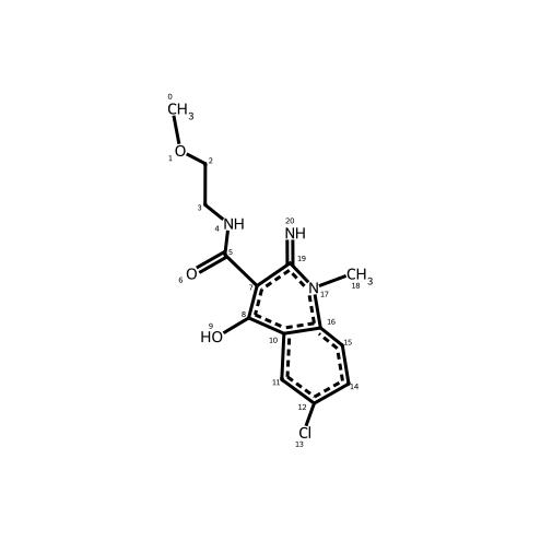 COCCNC(=O)c1c(O)c2cc(Cl)ccc2n(C)c1=N